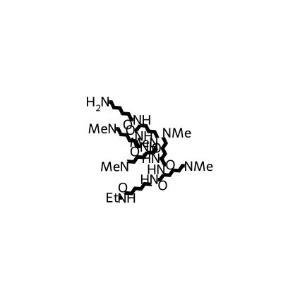 CCNC(=O)CCCCCNC(=O)C(CCCCNC)NC(=O)C(CCCCNC)NC(=O)C(CCCCNC)NC(=O)C(CCCCNC)NC(=O)C(CCCCNC)NC(=O)CCCCCN